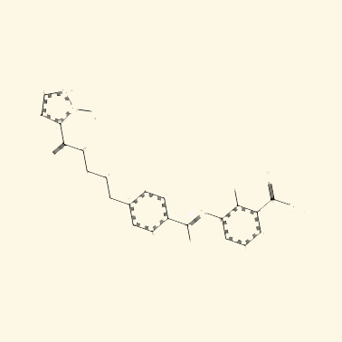 C/C(=N\c1cccc(C(N)=O)c1O)c1ccc(CCCCC(=O)c2ccnn2C)cc1